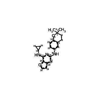 CC1(C)CCc2cc(Nc3nc(NC4CC4)c4occc4n3)ccc2O1